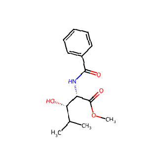 COC(=O)[C@@H](NC(=O)c1ccccc1)[C@@H](O)C(C)C